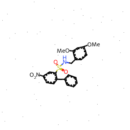 COc1ccc(CNS(=O)(=O)c2cc([N+](=O)[O-])ccc2-c2ccccc2)c(OC)c1